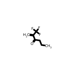 C=C(C(=O)CCC)C(F)(F)F